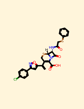 C=C(C1=C(C(=O)O)N2C(=O)[C@@H](NC(=O)CSc3ccccc3)[C@H]2SC1)c1cc(-c2ccc(Cl)cc2)no1